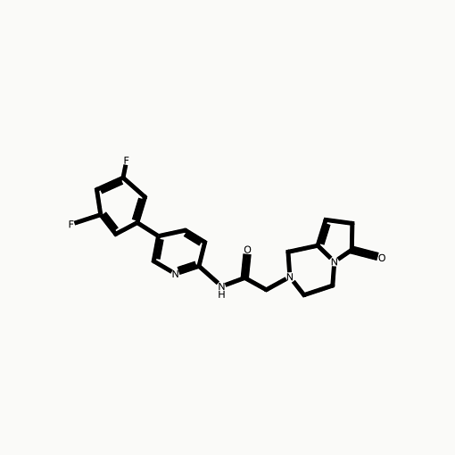 O=C(CN1CCN2C(=O)CC=C2C1)Nc1ccc(-c2cc(F)cc(F)c2)cn1